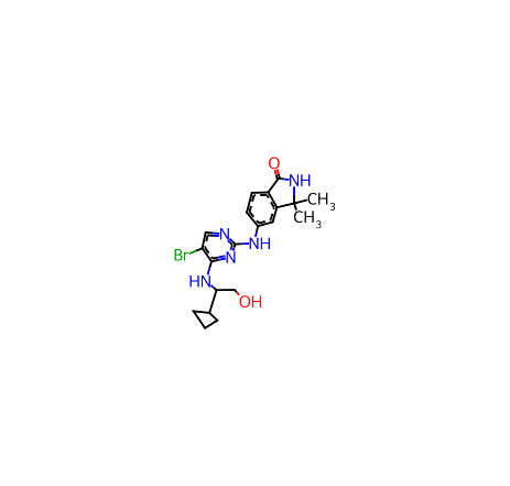 CC1(C)NC(=O)c2ccc(Nc3ncc(Br)c(NC(CO)C4CCC4)n3)cc21